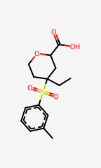 CCC1(S(=O)(=O)c2cccc(C)c2)CCOC(C(=O)O)C1